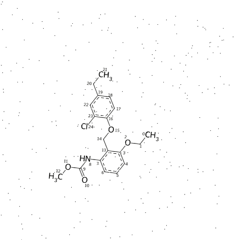 CCOc1cccc(NC(=O)OC)c1COc1ccc(CC)cc1Cl